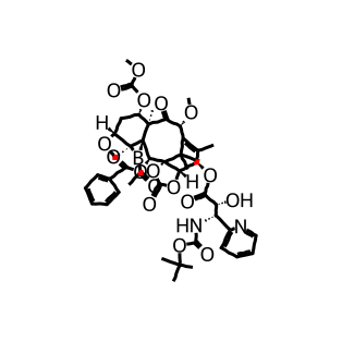 COC(=O)O[C@H]1C[C@H]2OC[C@]23B(C(C)=O)[C@@]32[C@H](OC(=O)c3ccccc3)[C@]34OC(=O)O[C@H]3[C@H](OC(=O)[C@H](O)[C@@H](NC(=O)OC(C)(C)C)c3ccccn3)C(C)=C([C@@H](OC)C(=O)[C@]12C)C4(C)C